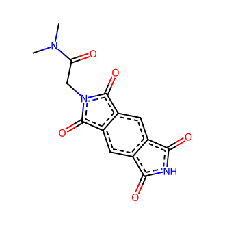 CN(C)C(=O)Cn1c(=O)c2cc3c(=O)[nH]c(=O)c3cc2c1=O